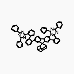 c1ccc(-c2nc(-c3ccccc3)nc(-c3ccccc3-c3ccc4c(c3)C3(c5cc(-c6ccccc6-c6ccccc6-c6nc(-c7ccccc7)nc(-c7ccccc7)n6)ccc5-4)C4CC5CC(C4)CC3C5)n2)cc1